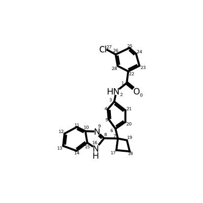 O=C(Nc1ccc(C2(c3nc4ccccc4[nH]3)CCC2)cc1)c1cccc(Cl)c1